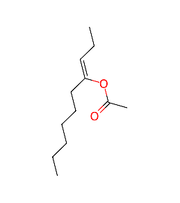 CCC=C(CCCCCC)OC(C)=O